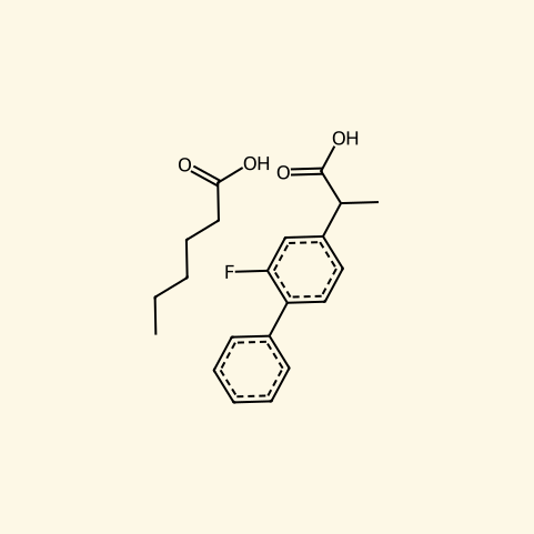 CC(C(=O)O)c1ccc(-c2ccccc2)c(F)c1.CCCCCC(=O)O